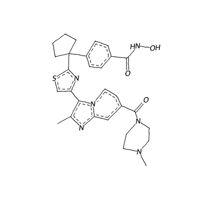 Cc1nc2cc(C(=O)N3CCN(C)CC3)ccn2c1-c1csc(C2(c3ccc(C(=O)NO)cc3)CCCC2)n1